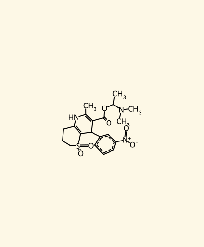 CC1=C(C(=O)OC(C)N(C)C)C(c2cccc([N+](=O)[O-])c2)C2=C(CCCS2(=O)=O)N1